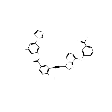 Cc1ccc(C(=O)Nc2cc(-n3ccnc3)cc(C(F)(F)F)c2)cc1C#CC1CN=C2C(Nc3cccc(C(N)=O)c3)=CC=CN21